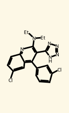 CCN(CC)c1nc2ccc(Cl)cc2c(-c2cccc(Cl)c2)c1-c1nnn[nH]1